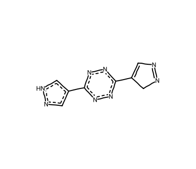 C1=C(c2nnc(-c3cn[nH]c3)nn2)CN=N1